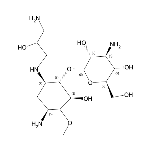 COC1[C@@H](N)C[C@@H](NCC(O)CN)[C@H](O[C@H]2O[C@H](CO)[C@@H](O)[C@H](N)[C@H]2O)[C@H]1O